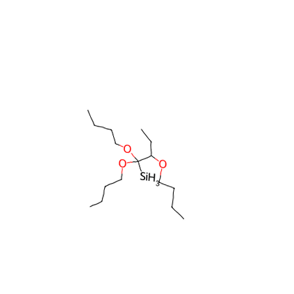 CCCCOC(CC)C([SiH3])(OCCCC)OCCCC